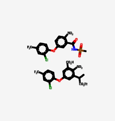 CCOC(=O)C(C)c1cc(Oc2ccc(C(F)(F)F)cc2Cl)cc(C(=O)O)c1[N+](=O)[O-].CS(=O)(=O)NC(=O)c1cc(Oc2ccc(C(F)(F)F)cc2Cl)ccc1[N+](=O)[O-]